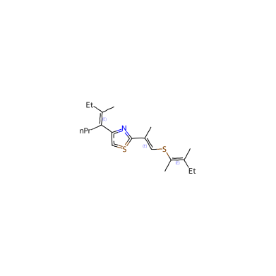 CCC/C(=C(/C)CC)c1csc(/C(C)=C/S/C(C)=C(\C)CC)n1